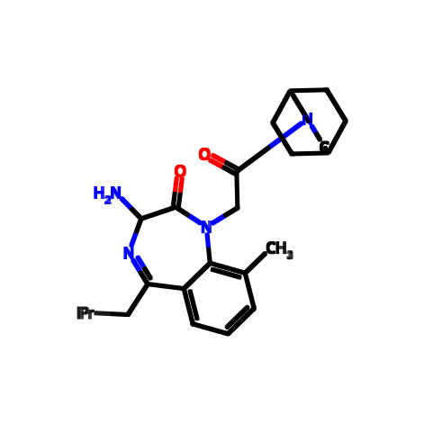 Cc1cccc2c1N(CC(=O)N1CC3CCC(CC3)C1)C(=O)C(N)N=C2CC(C)C